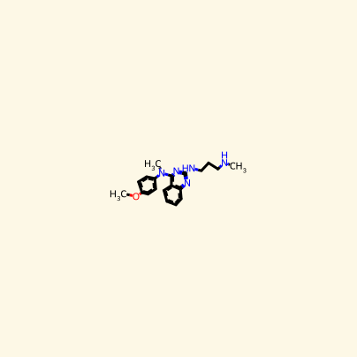 CNCCCNc1nc(N(C)c2ccc(OC)cc2)c2ccccc2n1